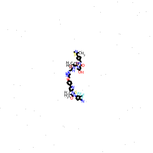 Cc1ncsc1-c1ccc(CNC(=O)[C@@H]2C[C@@H](O)CN2C(=O)[C@@H](NC(=O)CCn2cc(COc3ccc(-c4ccc(N5C(=S)N(c6ccc(C#N)c(C(F)(F)F)c6F)C(=O)C5(C)C)cn4)cc3)nn2)C(C)(C)C)cc1